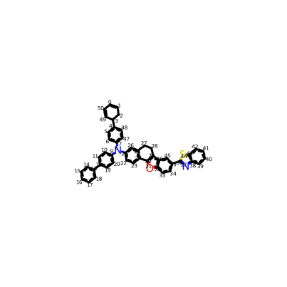 C1=CCC(c2ccc(N(c3ccc(-c4ccccc4)cc3)c3ccc4c(c3)CCc3c-4oc4ccc(-c5nc6ccccc6s5)cc34)cc2)C=C1